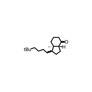 CC(C)(C)CCC/C=C1/CC[C@H]2C(=O)CCC[C@]12C